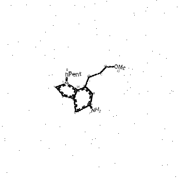 CCCCCn1ccc2cc(N)cc(CCCOC)c21